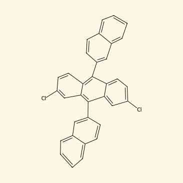 Clc1ccc2c(-c3ccc4ccccc4c3)c3ccc(Cl)cc3c(-c3ccc4ccccc4c3)c2c1